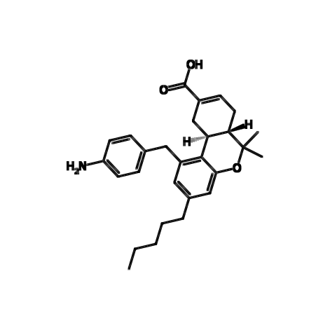 CCCCCc1cc(Cc2ccc(N)cc2)c2c(c1)OC(C)(C)[C@H]1CC=C(C(=O)O)C[C@H]21